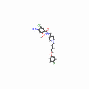 COc1cc(N)c(Cl)cc1C(=O)NCC1CCN(CCCCCOc2ccc(F)cc2)CC1